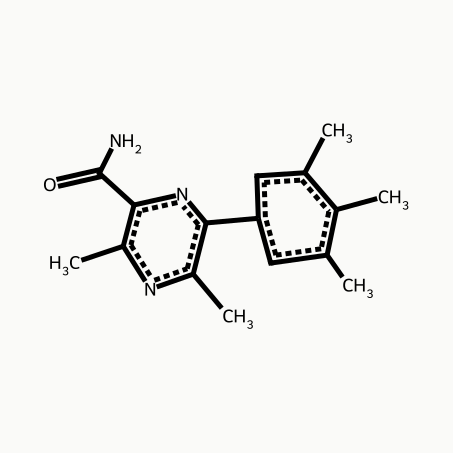 Cc1cc(-c2nc(C(N)=O)c(C)nc2C)cc(C)c1C